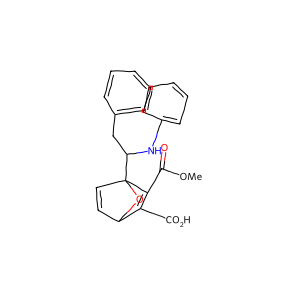 COC(=O)C1=C(C(=O)O)C2C=CC1(C(Cc1ccccc1)Nc1ccccc1)O2